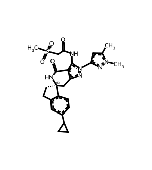 Cc1cc(-n2nc3c(c2NC(=O)CS(C)(=O)=O)C(=O)N[C@@]2(CCc4cc(C5CC5)ccc42)C3)nn1C